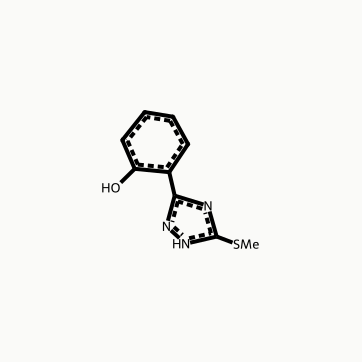 CSc1nc(-c2ccccc2O)n[nH]1